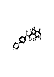 Cc1cn(C)c(=O)c2c(C(=O)Nc3ccc(N4CCOCC4)cc3)nn(C)c12